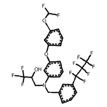 OC(CN(Cc1cccc(C(F)(F)C(F)(F)C(F)(F)F)c1)c1cccc(Oc2cccc(OC(F)F)c2)c1)C(F)(F)F